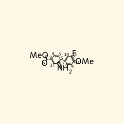 COC(=O)c1ccc(-c2ccc(OC)c(F)c2)c(N)c1